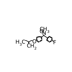 C=C(CC)COc1ccc(/C(=N\OC)c2ccc(F)cc2)cc1